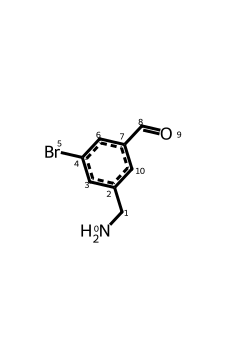 NCc1cc(Br)cc(C=O)c1